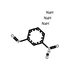 O=Pc1cccc([SH](=O)=O)c1.[NaH].[NaH].[NaH]